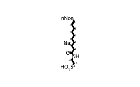 CCCCCCCCCC=CCCCCCCCC(=O)NCCS(=O)(=O)O.[Na]